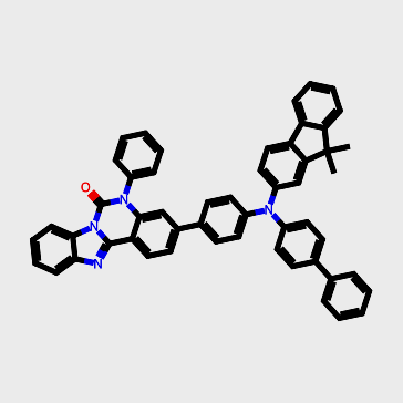 CC1(C)c2ccccc2-c2ccc(N(c3ccc(-c4ccccc4)cc3)c3ccc(-c4ccc5c(c4)n(-c4ccccc4)c(=O)n4c6ccccc6nc54)cc3)cc21